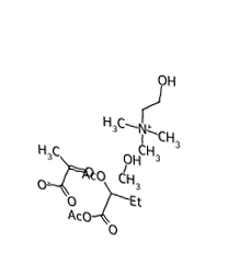 CC(=O)C(=O)[O-].CCC(OC(C)=O)C(=O)OC(C)=O.CO.C[N+](C)(C)CCO